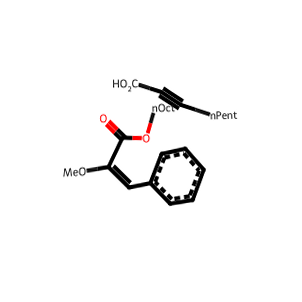 CCCCCC#CC(=O)O.CCCCCCCCOC(=O)C(=Cc1ccccc1)OC